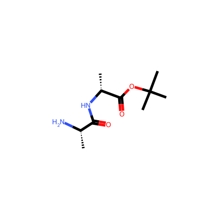 C[C@H](N)C(=O)N[C@H](C)C(=O)OC(C)(C)C